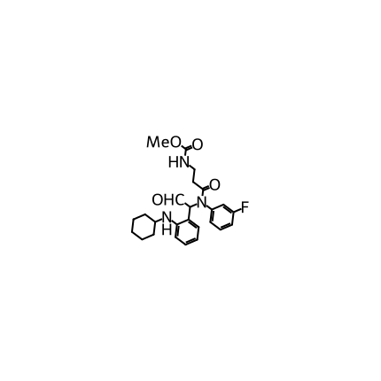 COC(=O)NCCC(=O)N(c1cccc(F)c1)C(C=O)c1ccccc1NC1CCCCC1